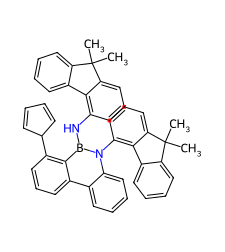 CC1(C)c2ccccc2-c2c(NB3c4c(cccc4C4C=CC=C4)-c4ccccc4N3c3cccc4c3-c3ccccc3C4(C)C)cccc21